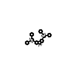 FC1(F)c2ccc(-c3cc(-c4ccccc4)nc(-c4ccccc4)n3)cc2-c2cc(-c3cc(-c4ccccc4)nc(-c4ccccc4)n3)ccc21